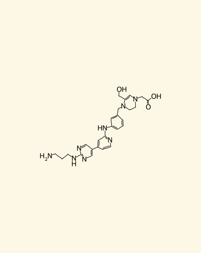 NCCCNc1ncc(-c2ccnc(Nc3cccc(CN4CCN(CC(=O)O)C=C4CO)c3)c2)cn1